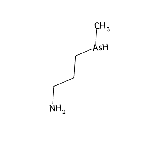 C[AsH]CCCN